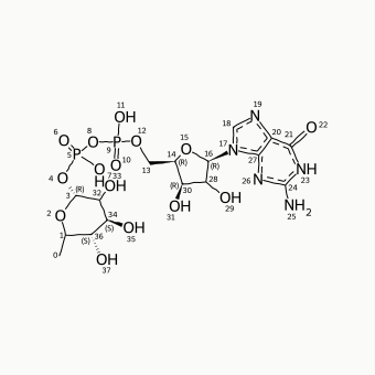 CC1O[C@H](OP(=O)(O)OP(=O)(O)OC[C@H]2O[C@@H](n3cnc4c(=O)[nH]c(N)nc43)C(O)[C@H]2O)C(O)[C@@H](O)[C@@H]1O